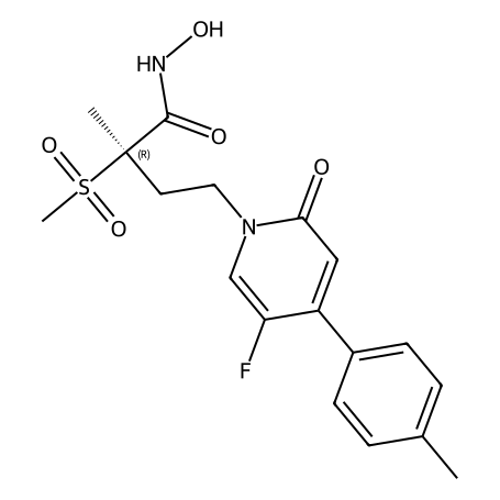 Cc1ccc(-c2cc(=O)n(CC[C@](C)(C(=O)NO)S(C)(=O)=O)cc2F)cc1